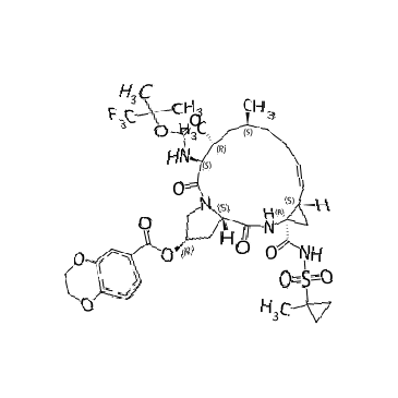 C[C@H]1CCC=C[C@@H]2C[C@@]2(C(=O)NS(=O)(=O)C2(C)CC2)NC(=O)[C@@H]2C[C@@H](OC(=O)c3ccc4c(c3)OCCO4)CN2C(=O)[C@@H](NC(=O)OC(C)(C)C(F)(F)F)[C@H](C)C1